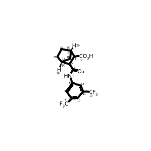 O=C(O)C1C(C(=O)Nc2cc(C(F)(F)F)cc(C(F)(F)F)c2)[C@@H]2CC[C@H]1C2